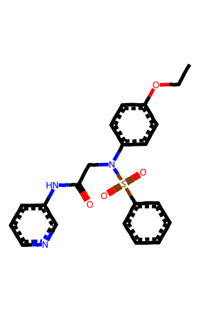 CCOc1ccc(N(CC(=O)Nc2cccnc2)S(=O)(=O)c2ccccc2)cc1